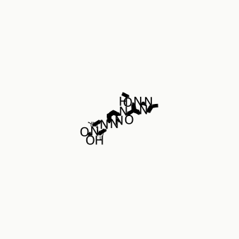 CCOc1nc2nc(C)cn2cc1C(=O)Nc1ccc(N2C[C@@H](C)N(C(=O)O)[C@@H](C)C2)nn1